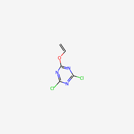 C=COc1nc(Cl)nc(Cl)n1